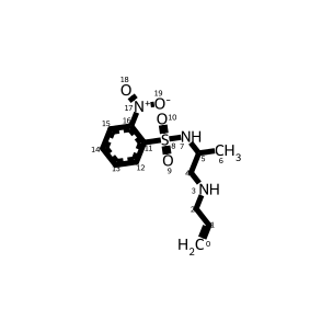 C=CCNCC(C)NS(=O)(=O)c1ccccc1[N+](=O)[O-]